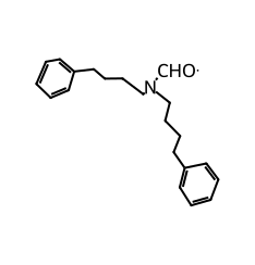 O=[C]N(CCCCc1ccccc1)CCCCc1ccccc1